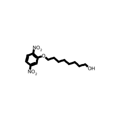 O=[N+]([O-])c1ccc([N+](=O)[O-])c(OCCCCCCCCO)c1